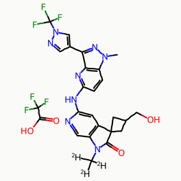 O=C(O)C(F)(F)F.[2H]C([2H])([2H])N1C(=O)C2(CC(CO)C2)c2cc(Nc3ccc4c(n3)c(-c3cnn(C(F)(F)F)c3)nn4C)ncc21